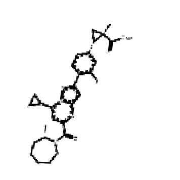 COC(=O)[C@@]1(C)C[C@H]1c1ccc(-c2cc3nc(C(=O)N4CCCCC[C@H]4C)cc(C4CC4)n3n2)c(F)c1